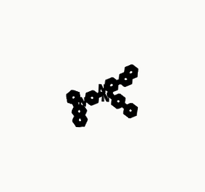 c1ccc(-c2ccc(-c3nc(-c4ccc(-n5c6ccccc6c6cc7ccccc7cc65)cc4)nc4ccc(-c5ccc6ccccc6c5)cc34)cc2)cc1